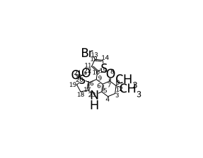 CC1(C)CCC2=C(C1=O)C(c1cc(Br)cs1)C1=C(CCS1(=O)=O)N2